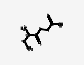 CON(C)C(=O)CCC(=O)O